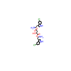 NC(Cc1c[nH]c2ccc(Cl)cc12)OC(=O)CC(O)C(=O)OC(N)Cc1c[nH]c2ccc(Cl)cc12